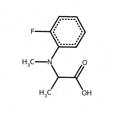 CC(C(=O)O)N(C)c1ccccc1F